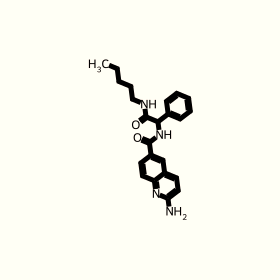 CCCCCNC(=O)C(NC(=O)c1ccc2nc(N)ccc2c1)c1ccccc1